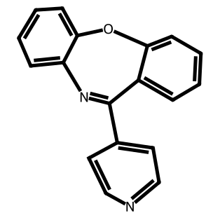 c1ccc2c(c1)N=C(c1ccncc1)c1ccccc1O2